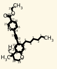 CCCCCCc1cc2c(cc1C#Cc1ccc(C(=O)OCC)cn1)C(C)(C)CCO2